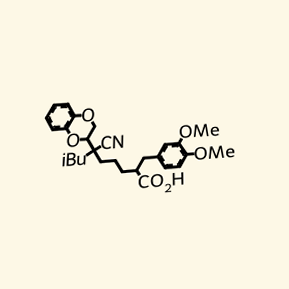 CCC(C)C(C#N)(CCCC(Cc1ccc(OC)c(OC)c1)C(=O)O)C1COc2ccccc2O1